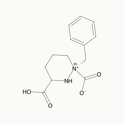 O=C(O)C1CCC[N@@+](Cc2ccccc2)(C(=O)[O-])N1